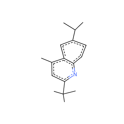 Cc1cc(C(C)(C)C)nc2ccc(C(C)C)cc12